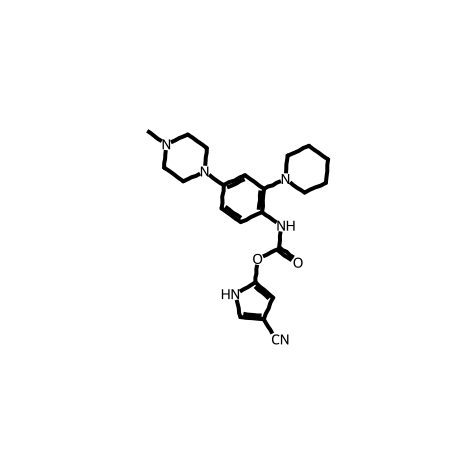 CN1CCN(c2ccc(NC(=O)Oc3cc(C#N)c[nH]3)c(N3CCCCC3)c2)CC1